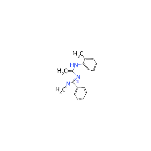 C=N/C(=N\C(=C)Nc1ccccc1C)c1ccccc1